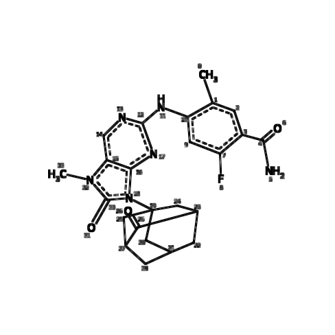 Cc1cc(C(N)=O)c(F)cc1Nc1ncc2c(n1)n(C13CC4CC(C1)C(=O)C(C4)C3)c(=O)n2C